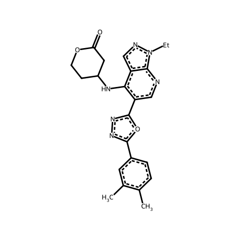 CCn1ncc2c(NC3CCOC(=O)C3)c(-c3nnc(-c4ccc(C)c(C)c4)o3)cnc21